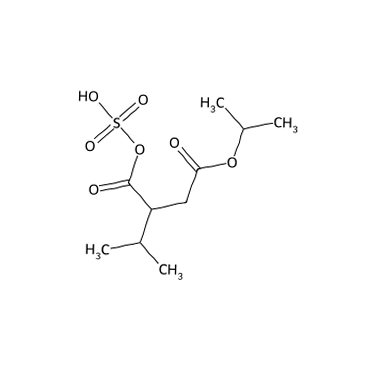 CC(C)OC(=O)CC(C(=O)OS(=O)(=O)O)C(C)C